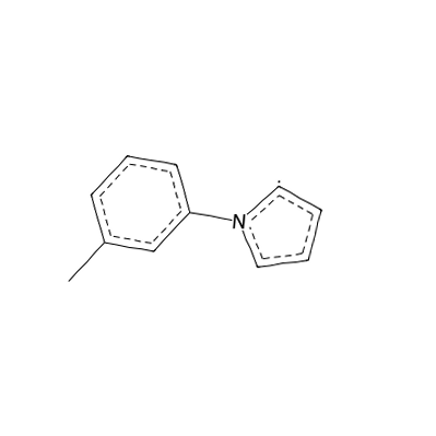 Cc1cccc(-n2[c]ccc2)c1